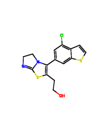 OCCC1=C(c2cc(Cl)c3ccsc3c2)N2CCN=C2S1